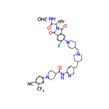 CCCC(C(=O)NC=O)N1C(=O)c2cc(F)c(N3CCC(CN4CCC(CC5C=CC(NC(=O)C6CCN(c7ccc(C#N)c(C(F)(F)F)c7)CC6)=NC5)CC4)CC3)cc2C1=O